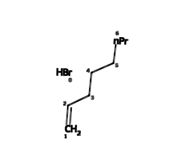 Br.C=CCCCCCC